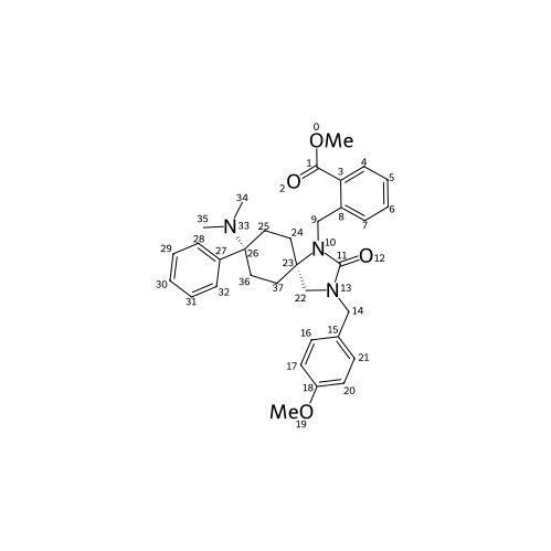 COC(=O)c1ccccc1CN1C(=O)N(Cc2ccc(OC)cc2)C[C@]12CC[C@@](c1ccccc1)(N(C)C)CC2